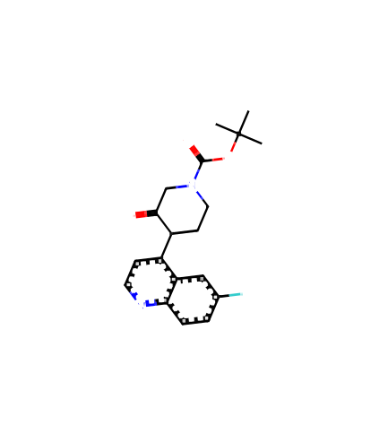 CC(C)(C)OC(=O)N1CCC(c2ccnc3ccc(F)cc23)C(=O)C1